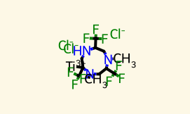 CN1CC(C(F)(F)F)NC[C]([Ti+3])(C(F)(F)F)N(C)CC1C(F)(F)F.[Cl-].[Cl-].[Cl-]